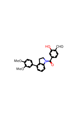 COc1ccc(-c2cccc3c2CCN3C(=O)c2ccc(C=O)c(O)c2)cc1OC